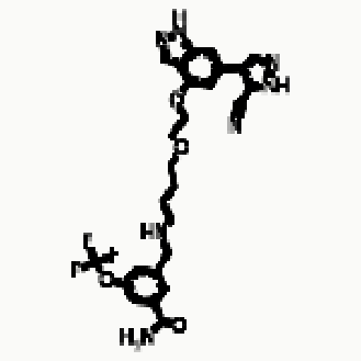 N#Cc1[nH]ncc1-c1cc(OCCOCCCCNCc2cc(OC(F)(F)F)cc(C(N)=O)c2)c2cn[nH]c2c1